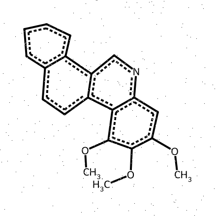 COc1cc2ncc3c4ccccc4ccc3c2c(OC)c1OC